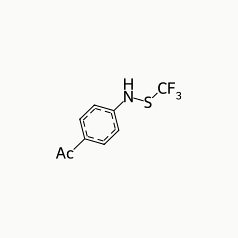 CC(=O)c1ccc(NSC(F)(F)F)cc1